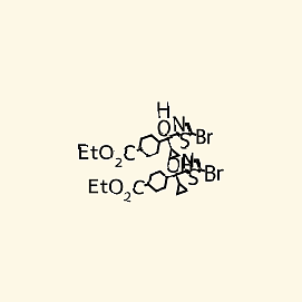 CCOC(=O)C1CCC([C@@](O)(c2ncc(Br)s2)C2CC2)CC1.CCOC(=O)C1CCC([C@](O)(c2ncc(Br)s2)C2CC2)CC1